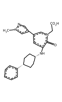 Cn1cc(-c2cc(N[C@H]3CC[C@@H](c4ccccc4)CC3)c(=O)n(CC(=O)O)c2)cn1